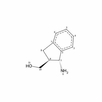 N[C@H]1c2ccccc2C[C@@H]1CO